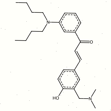 CCCCN(CCCC)c1cccc(C(=O)C=Cc2ccc(O)c(CN(C)C)c2)c1